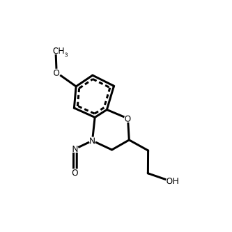 COc1ccc2c(c1)N(N=O)CC(CCO)O2